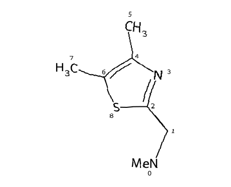 CNCc1nc(C)c(C)s1